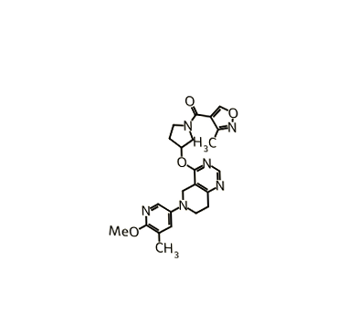 COc1ncc(N2CCc3ncnc(OC4CCN(C(=O)c5conc5C)C4)c3C2)cc1C